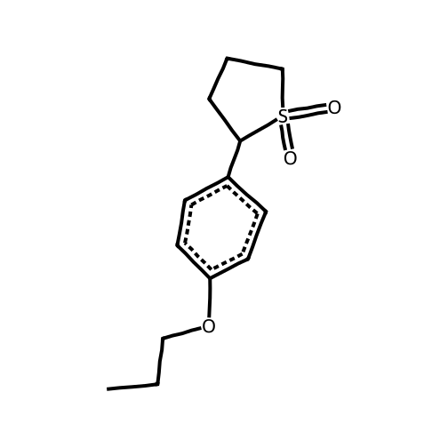 CCCOc1ccc(C2CCCS2(=O)=O)cc1